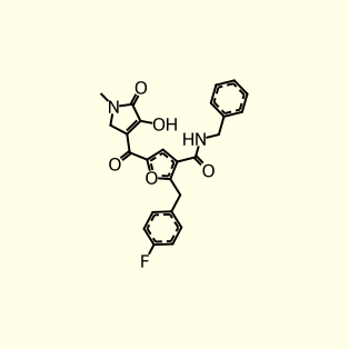 CN1CC(C(=O)c2cc(C(=O)NCc3ccccc3)c(Cc3ccc(F)cc3)o2)=C(O)C1=O